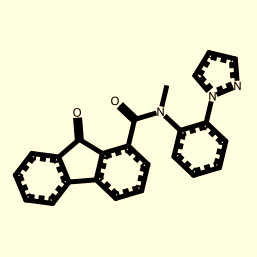 CN(C(=O)c1cccc2c1C(=O)c1ccccc1-2)c1ccccc1-n1cccn1